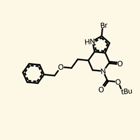 CC(C)(C)OC(=O)N1CC(CCOCc2ccccc2)c2[nH]c(Br)cc2C1=O